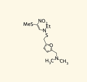 CCN(/C=C(/SC)[N+](=O)[O-])SCc1ccc(CN(C)C)o1